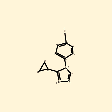 Fc1ccc(-n2cnnc2C2CC2)cc1